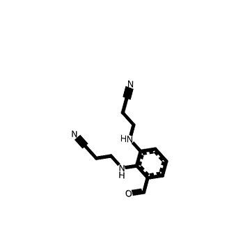 N#CCCNc1cccc(C=O)c1NCCC#N